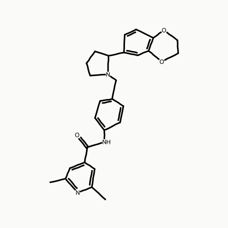 Cc1cc(C(=O)Nc2ccc(CN3CCCC3c3ccc4c(c3)OCCO4)cc2)cc(C)n1